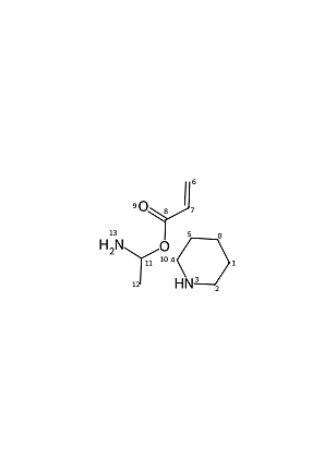 C1CCNCC1.C=CC(=O)OC(C)N